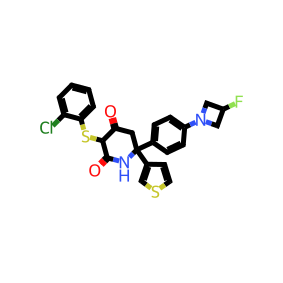 O=C1CC(c2ccc(N3CC(F)C3)cc2)(c2ccsc2)NC(=O)C1Sc1ccccc1Cl